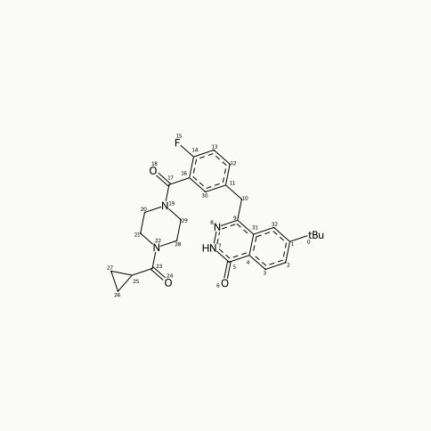 CC(C)(C)c1ccc2c(=O)[nH]nc(Cc3ccc(F)c(C(=O)N4CCN(C(=O)C5CC5)CC4)c3)c2c1